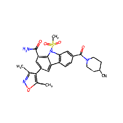 Cc1noc(C)c1-c1cc(C(N)=O)c2c(c1)c1ccc(C(=O)N3CCC(C#N)CC3)cc1n2S(C)(=O)=O